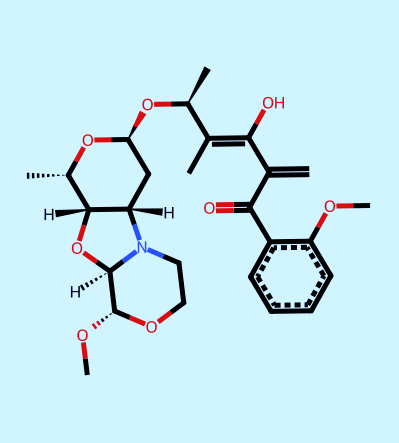 C=C(C(=O)c1ccccc1OC)/C(O)=C(\C)[C@H](C)O[C@H]1C[C@H]2[C@H](O[C@@H]3[C@@H](OC)OCCN32)[C@H](C)O1